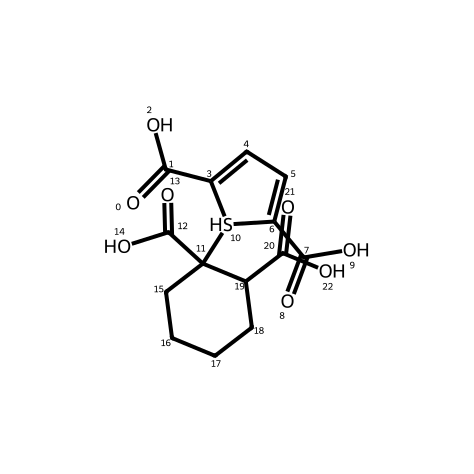 O=C(O)C1=CC=C(C(=O)O)[SH]1C1(C(=O)O)CCCCC1C(=O)O